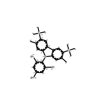 Cc1cc2c(cc1[Si](C)(C)C)-c1cc([Si](C)(C)C)c(C)cc1B2c1c(C(C)C)cc(C(C)C)cc1C(C)C